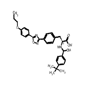 CCCOc1ccc(-c2nc(-c3ccc(C[C@H](NC(O)c4ccc(C(C)(C)C)cc4)C(=O)O)cc3)no2)cc1